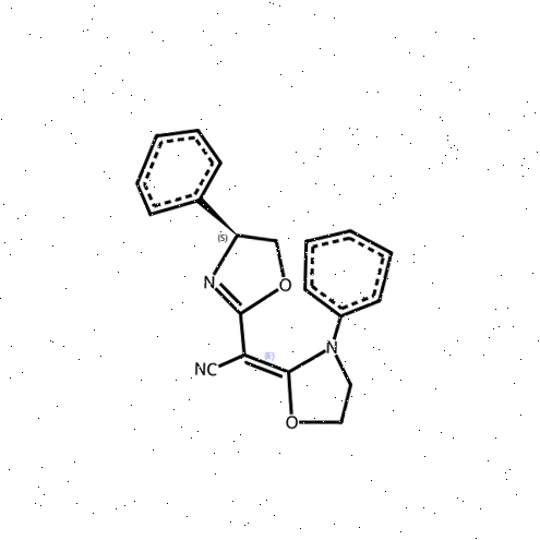 N#C/C(C1=N[C@@H](c2ccccc2)CO1)=C1\OCCN1c1ccccc1